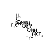 Cc1cc(NC2CCCN(C(=O)N3CCCC(Nc4cc(C)nc(C(F)(F)F)n4)C3C)C2C)nc(C(F)(F)F)n1